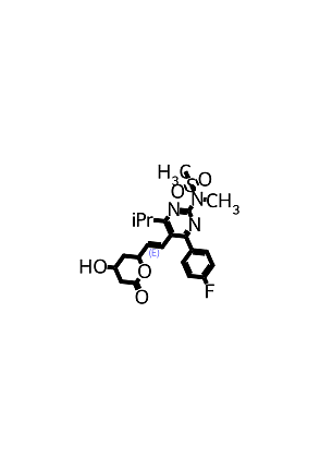 CC(C)c1nc(N(C)S(C)(=O)=O)nc(-c2ccc(F)cc2)c1/C=C/C1CC(O)CC(=O)O1